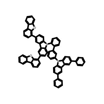 c1ccc(-c2ccc3c(c2)c2cc(-c4ccccc4)ccc2n3-c2cccc(-c3ccccc3-n3c4ccc(-c5cccc6c5oc5ccccc56)cc4c4cc(-c5cccc6c5oc5ccccc56)ccc43)c2)cc1